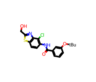 CC(C)(C)Oc1cccc(C(=O)Nc2ccc3sc(CO)nc3c2Cl)c1